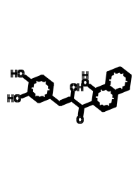 O=C(/C(O)=C/c1ccc(O)c(O)c1)c1ccc2ccccc2c1O